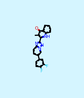 Cc1c(-c2nc3ccc(-c4ccc(F)c(F)c4)cn3n2)[nH]c2ccccc2c1=O